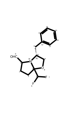 O=CC1CCC2(C(F)F)OC[C@@H](Cc3ccccc3)N12